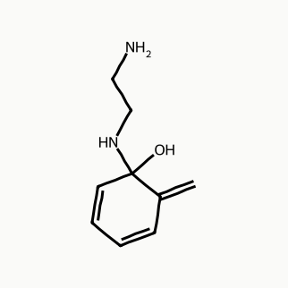 C=C1C=CC=CC1(O)NCCN